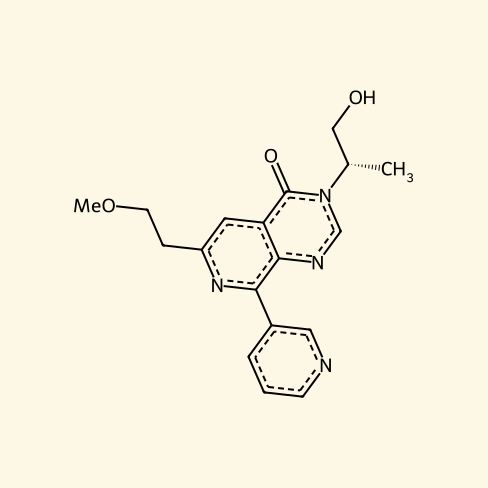 COCCc1cc2c(=O)n([C@@H](C)CO)cnc2c(-c2cccnc2)n1